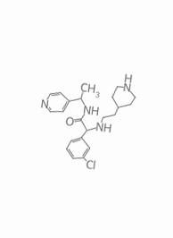 CC(NC(=O)C(NCCC1CCNCC1)c1cccc(Cl)c1)c1ccncc1